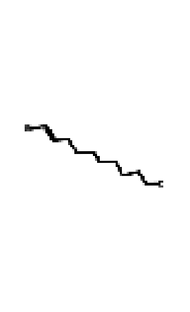 CCC=CCCCCCCCCCl